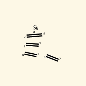 C=C.C=C.C=C.C=C.[Si]